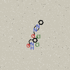 O=C1CCc2c(c(Cl)cc(Cl)c2OCCN2CCN(c3ccccc3)CC2)N1